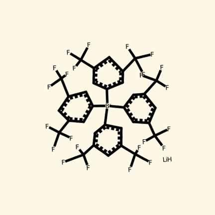 FC(F)(F)c1cc([B-](c2cc(C(F)(F)F)cc(C(F)(F)F)c2)(c2cc(C(F)(F)F)cc(C(F)(F)F)c2)c2cc(C(F)(F)F)cc(C(F)(F)F)c2)cc(C(F)(F)F)c1.[LiH]